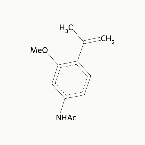 C=C(C)c1ccc(NC(C)=O)cc1OC